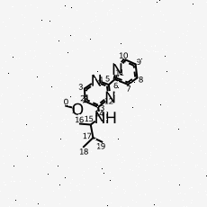 COc1cnc(-c2ccccn2)nc1NC(C)C(C)C